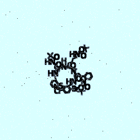 CN1C(=O)[C@H](CCCCNC(=O)OC(C)(C)C)NC(=O)[C@H](CCNC(=O)C(C)(C)C)NCc2cccnc2Sc2c(Cl)ccc(Br)c2CNC(=O)[C@@H]1Cc1cn(C(=O)OC(C)(C)C)c2ccccc12